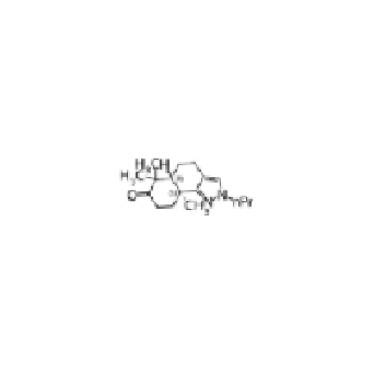 CCCn1cc2c(n1)[C@@]1(C)CCC(=O)C(C)(C)[C@@H]1CC2